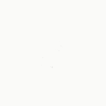 CC(C)n1nc(-c2c(-c3ccccc3)nc(Cl)c(N)c2Cl)ccc1=O